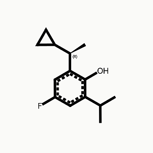 CC(C)c1cc(F)cc([C@H](C)C2CC2)c1O